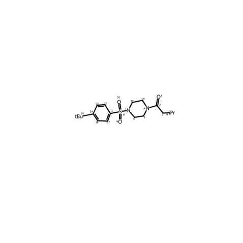 CC(C)CC(=O)N1CCN(S(=O)(=O)c2ccc(C(C)(C)C)cc2)CC1